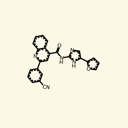 N#Cc1cccc(-c2cc(C(=O)Nc3ncc(-c4ccco4)[nH]3)c3ccccc3n2)c1